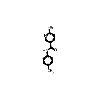 CC(C)(C)c1ccc(C(=O)Nc2ccc(C(F)(F)F)cc2)cn1